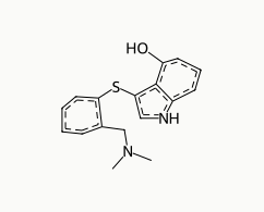 CN(C)Cc1ccccc1Sc1c[nH]c2cccc(O)c12